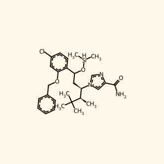 C[C@H]([C@@H](CC(O[SiH](C)C)c1ccc(Cl)cc1OCc1ccccc1)n1cnc(C(N)=O)c1)C(C)(C)C